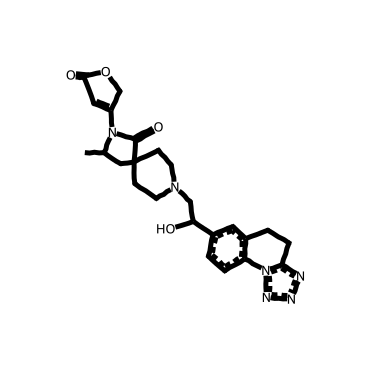 CC1CC2(CCN(CC(O)c3ccc4c(c3)CCc3nnnn3-4)CC2)C(=O)N1C1=CC(=O)OC1